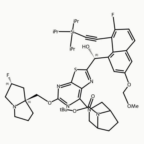 COCOc1cc([C@@H](O)c2nc3c(N4CC5CCC(C4)N5C(=O)OC(C)(C)C)nc(OC[C@@]45CCCN4C[C@H](F)C5)nc3s2)c2c(C#C[Si](C(C)C)(C(C)C)C(C)C)c(F)ccc2c1